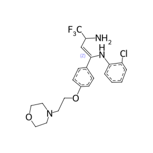 NC(/C=C(\Nc1ccccc1Cl)c1ccc(OCCN2CCOCC2)cc1)C(F)(F)F